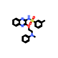 Cc1cccc(S(=O)(=O)Nc2nc3ccccc3nc2OCCN(C)c2ccccc2)c1